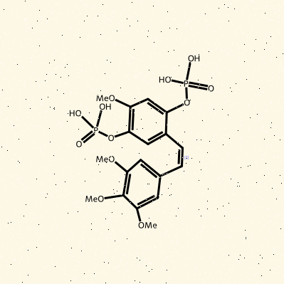 COc1cc(OP(=O)(O)O)c(/C=C\c2cc(OC)c(OC)c(OC)c2)cc1OP(=O)(O)O